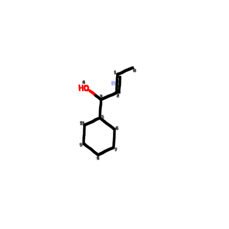 C/C=C/C(O)C1CCCCC1